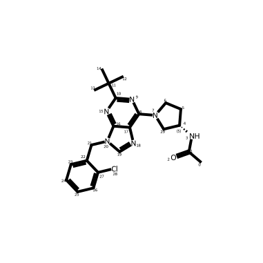 CC(=O)N[C@H]1CCN(c2nc(C(C)(C)C)nc3c2ncn3Cc2ccccc2Cl)C1